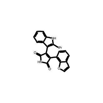 CC(C)c1[nH]c2ccccc2c1C1=C(c2cccc3ccoc23)C(=O)NC1=O